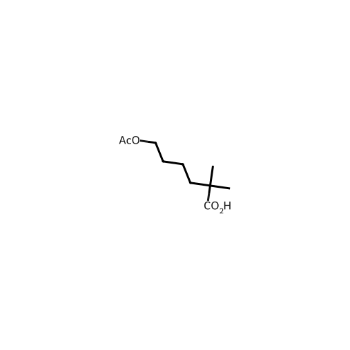 CC(=O)OCCCCC(C)(C)C(=O)O